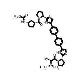 COC(=O)N[C@H]1CC[C@@H](C(=O)N2CCC[C@H]2c2ncc(-c3ccc(-c4ccc(-c5cnc([C@@H]6CCCN6C(=O)[C@H](C(C)C)N(C)C(=O)O)[nH]5)cc4)cc3)[nH]2)C1